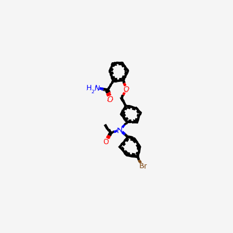 CC(=O)N(c1ccc(Br)cc1)c1cccc(COc2ccccc2C(N)=O)c1